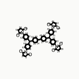 O=C1C=CC(=O)N1c1ccc(C(c2ccc(-c3ccc(C(c4ccc(N5C(=O)C=CC5=O)cc4)c4ccc(N5C(=O)C=CC5=O)cc4)cc3)cc2)c2ccc(N3C(=O)C=CC3=O)cc2)cc1